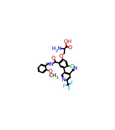 COc1ccccc1CNC(=O)c1cc(-c2cnc(C(F)(F)F)cc2C#N)c(Cl)cc1OCC(N)C(=O)O